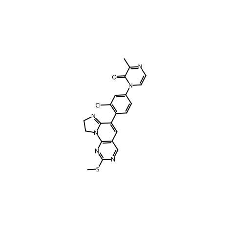 CSc1ncc2c(n1)N1CCN=C1C(c1ccc(-n3ccnc(C)c3=O)cc1Cl)=C2